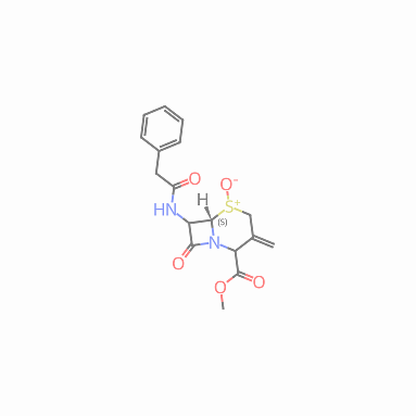 C=C1C[S+]([O-])[C@H]2C(NC(=O)Cc3ccccc3)C(=O)N2C1C(=O)OC